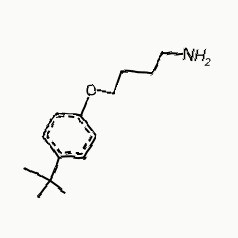 CC(C)(C)c1ccc(OCCCCN)cc1